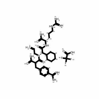 C=CCN(C(=O)C(Cc1ccc(C(=N)N)cc1)C(N)=O)[C@H](C(=O)N[C@@H](CCCNC(=N)N)C(N)=O)C1CCCCC1.O=C(O)C(F)(F)F